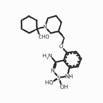 NC1=NS(O)(O)Nc2cccc(OCC3CCCN(C4(C=O)CCCCC4)C3)c21